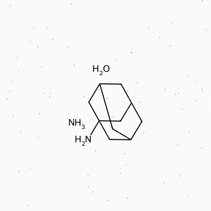 N.NC12CC3CC(CC(C3)C1)C2.O